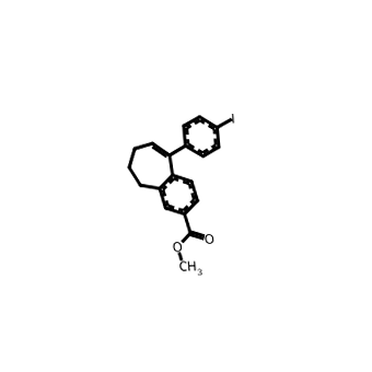 COC(=O)c1ccc2c(c1)CCCC=C2c1ccc(I)cc1